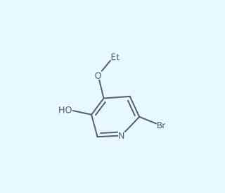 CCOc1cc(Br)ncc1O